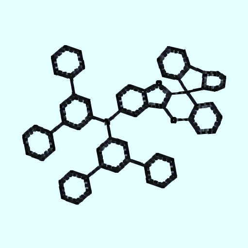 c1ccc(-c2cc(-c3ccccc3)cc(N(c3cc(-c4ccccc4)cc(-c4ccccc4)c3)c3ccc4oc5c(c4c3)Oc3ccccc3C53c4ccccc4-c4ccccc43)c2)cc1